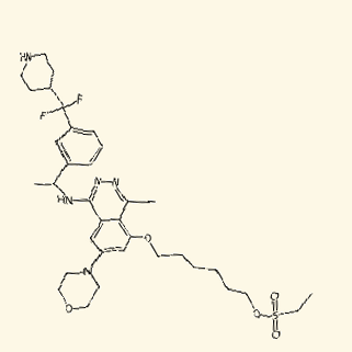 CCS(=O)(=O)OCCCCCCOc1cc(N2CCOCC2)cc2c(NC(C)c3cccc(C(F)(F)C4CCNCC4)c3)nnc(C)c12